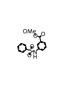 COOC(=O)c1cccc(NS(=O)(=O)c2ccccc2)c1